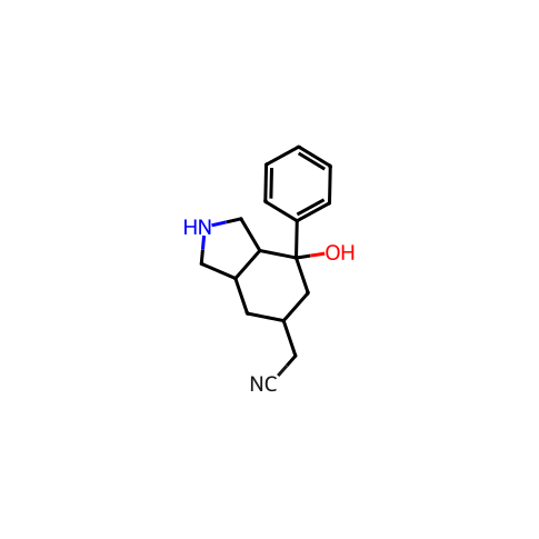 N#CCC1CC2CNCC2C(O)(c2ccccc2)C1